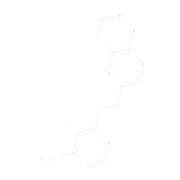 Cc1c(OCc2ccc3ccccc3n2)cccc1C(=O)O